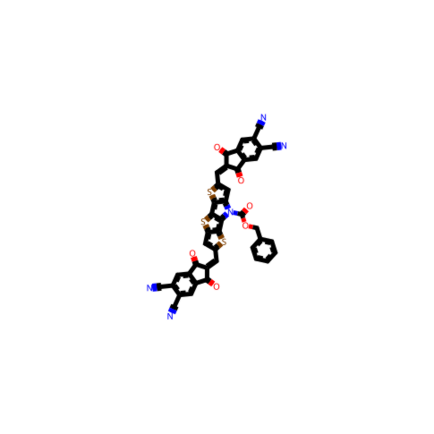 N#Cc1cc2c(cc1C#N)C(=O)C(=Cc1cc3c(s1)c1sc4cc(C=C5C(=O)c6cc(C#N)c(C#N)cc6C5=O)sc4c1n3C(=O)OCc1ccccc1)C2=O